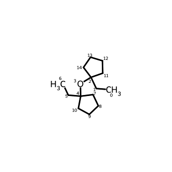 CCC1(OC2(CC)CCCC2)CCCC1